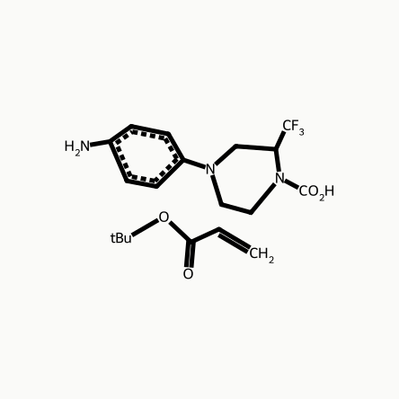 C=CC(=O)OC(C)(C)C.Nc1ccc(N2CCN(C(=O)O)C(C(F)(F)F)C2)cc1